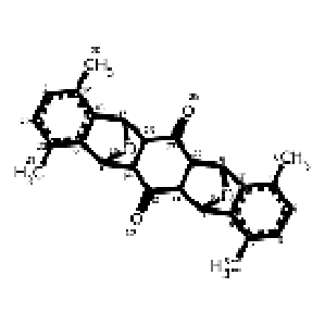 Cc1ccc(C)c2c1C1OC2C2C(=O)C3C4OC(c5c(C)ccc(C)c54)C3C(=O)C12